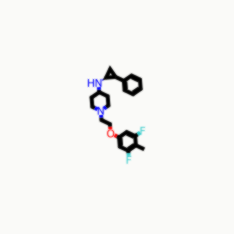 Cc1c(F)cc(OCCN2CCC(N[C@@H]3CC3c3ccccc3)CC2)cc1F